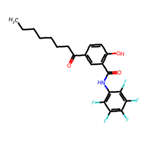 CCCCCCCC(=O)c1ccc(O)c(C(=O)Nc2c(F)c(F)c(F)c(F)c2F)c1